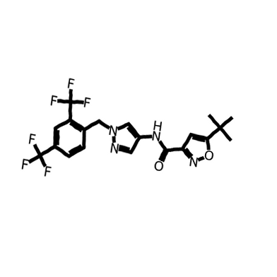 CC(C)(C)c1cc(C(=O)Nc2cnn(Cc3ccc(C(F)(F)F)cc3C(F)(F)F)c2)no1